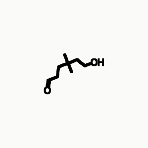 CC(C)(CCO)CCC=O